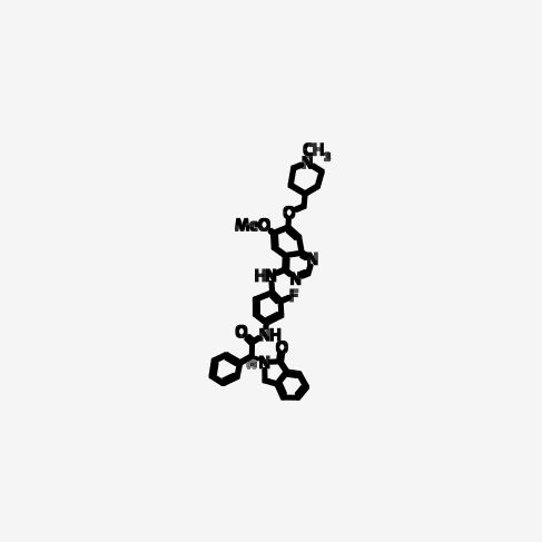 COc1cc2c(Nc3ccc(NC(=O)[C@@H](c4ccccc4)N4Cc5ccccc5C4=O)cc3F)ncnc2cc1OCC1CCN(C)CC1